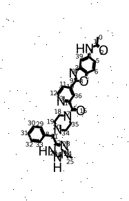 CC(=O)Nc1ccc2oc(-c3ccnc(C(=O)N4CCN(C(C5=NN(C)NN5)c5ccccc5)CC4)c3)nc2c1